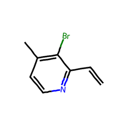 C=Cc1nccc(C)c1Br